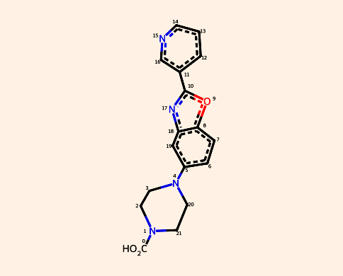 O=C(O)N1CCN(c2ccc3oc(-c4cccnc4)nc3c2)CC1